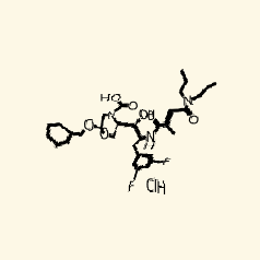 CCCN(CCC)C(=O)/C=C(\C)C(=O)N[C@@H](Cc1cc(F)cc(F)c1)[C@H](O)[C@H]1CO[C@@H](OCC2CCCCC2)CN1C(=O)O.Cl